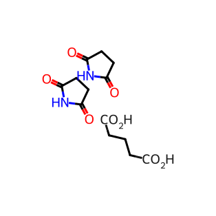 O=C(O)CCCC(=O)O.O=C1CCC(=O)N1.O=C1CCC(=O)N1